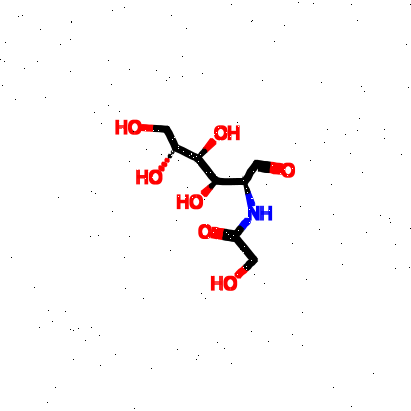 O=C[C@@H](NC(=O)CO)[C@@H](O)[C@H](O)[C@H](O)CO